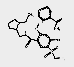 CCN1CCCC1CNC(=O)c1cc(S(=O)(=O)CC)c(N)cc1OC.NC(=O)c1ccccc1